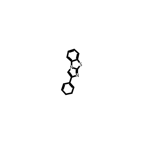 C1=CC(c2cn3c(n2)sc2ccccc23)=CCC1